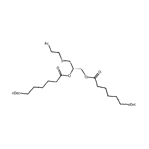 CCCCCCCCCCCCCCCC(=O)OC[C@@H](CSCCC(C)=O)OC(=O)CCCCCCCCCCCCCCC